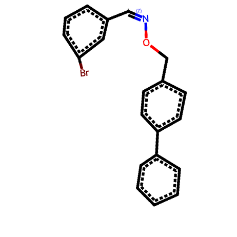 Brc1cccc(/[C]=N\OCc2ccc(-c3ccccc3)cc2)c1